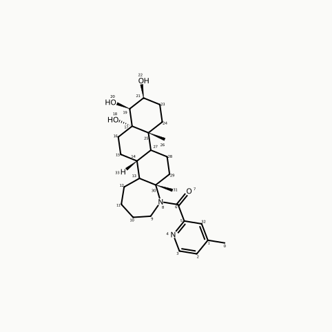 Cc1ccnc(C(=O)N2CCCCC3[C@@H]4CC[C@@]5(O)[C@@H](O)[C@@H](O)CC[C@]5(C)C4CC[C@@]32C)c1